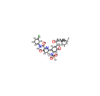 CNC(=O)c1c(-c2ccc(C)cc2)oc2cc(N(C)S(C)(=O)=O)c(-c3ccc4c(n3)C(=O)N(c3cccc(F)c3)CO4)cc12